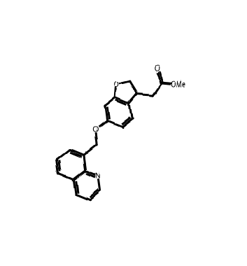 COC(=O)CC1COc2cc(OCc3cccc4cccnc34)ccc21